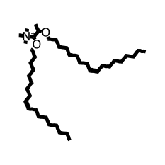 CCCCCCCC/C=C\CCCCCCCCOC(C)C(OCCCCCCCC/C=C\CCCCCCCC)[N+](C)(C)C